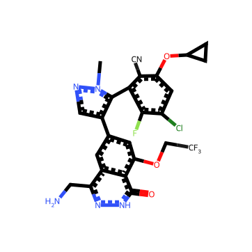 Cn1ncc(-c2cc(OCC(F)(F)F)c3c(=O)[nH]nc(CN)c3c2)c1-c1c(F)c(Cl)cc(OC2CC2)c1C#N